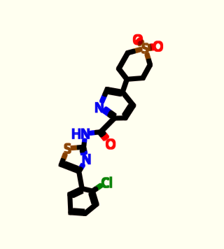 O=C(Nc1nc(-c2ccccc2Cl)cs1)c1ccc(C2CCS(=O)(=O)CC2)cn1